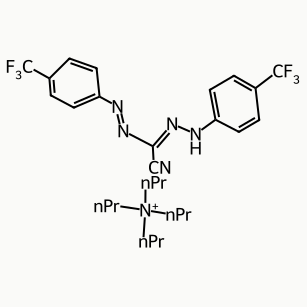 CCC[N+](CCC)(CCC)CCC.N#CC(N=Nc1ccc(C(F)(F)F)cc1)=NNc1ccc(C(F)(F)F)cc1